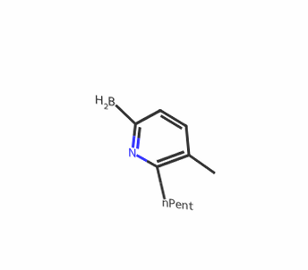 Bc1ccc(C)c(CCCCC)n1